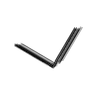 [Mg+2].[Mg+2].[Mg+2].[Mg+2].[Mg+2].[Mg+2].[Mg+2].[Mg+2].[Mg+2].[Mg+2].[Mg+2].[Mg+2].[Mg+2].[Mg+2].[Mg+2].[Mg+2].[Mg+2].[Mg+2].[Mg+2].[Mg+2].[Mg+2].[Mg+2].[Mg+2].[Mg+2].[Mg+2].[Mg+2].[Mg+2].[Mg+2].[Mg+2].[Mg+2].[Mg+2].[Mg+2].[Mg+2].[Mg+2].[Mg+2].[Mg+2].[Mg+2].[Mg+2].[Mg+2].[Mg+2].[Mg+2].[Mg+2].[Mg+2].[Mg+2].[Mg+2].[Mg+2].[Mg+2].[Mg+2].[Mg+2].[Mg+2].[Mg+2].[Mg+2].[Mg+2].[Mg+2].[Mg+2].[Mg+2].[Mg+2].[Mg+2].[Mg+2].[Mg+2].[Mg+2].[Mg+2].[O-2].[O-2].[O-2].[O-2].[O-2].[O-2].[O-2].[O-2]